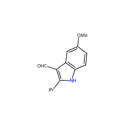 COc1ccc2[nH]c(C(C)C)c(C=O)c2c1